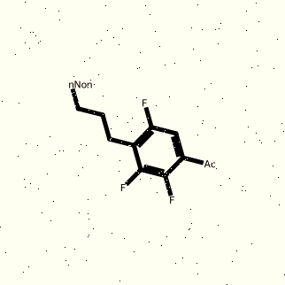 CCCCCCCCCCCCc1c(F)cc(C(C)=O)c(F)c1F